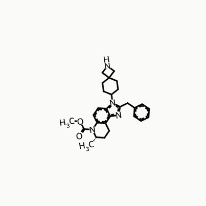 COC(=O)N1c2ccc3c(nc(Cc4ccccc4)n3C3CCC4(CC3)CNC4)c2CC[C@@H]1C